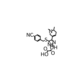 CC1CC=C(c2nsnc2SCc2ccc(C#N)cc2)CN1C.O=C(O)C(=O)O